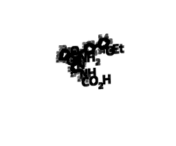 CCOc1cccc(-c2ccc(CC(N)(c3cccc(NCC(=O)O)n3)S(=O)(=O)c3ccccc3)cc2)c1